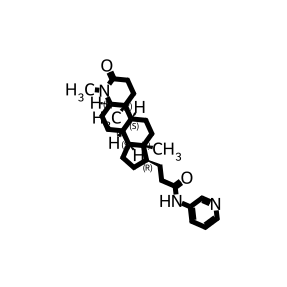 CN1C(=O)CC[C@]2(C)[C@H]3CC[C@]4(C)[C@@H](CCC(=O)Nc5cccnc5)CC[C@H]4[C@@H]3CC[C@@H]12